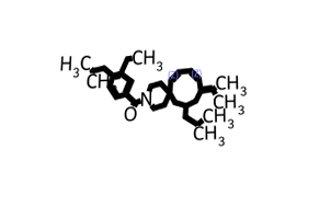 CCc1cc(C(=O)N2CCC3(/C=C\C=C/C(=C(C)C)CC(CC(C)C)C3)CC2)ccc1CC(C)C